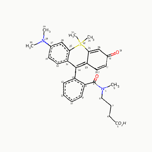 CN(CCCC(=O)O)C(=O)c1ccccc1C1=C2C=CC(=O)C=C2S(C)(C)c2cc(N(C)C)ccc21